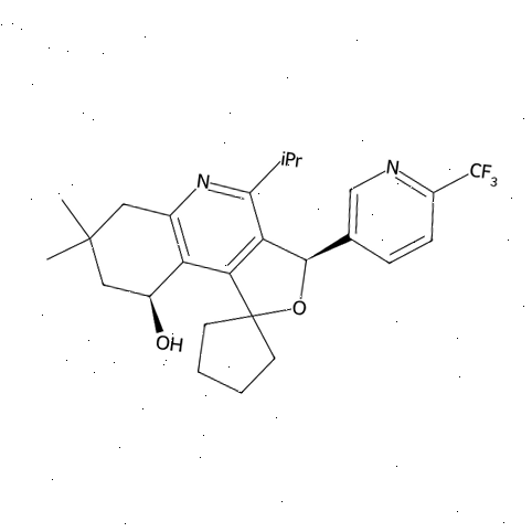 CC(C)c1nc2c(c3c1[C@@H](c1ccc(C(F)(F)F)nc1)OC31CCCC1)[C@@H](O)CC(C)(C)C2